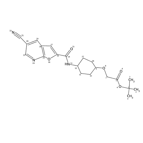 CC(C)(C)OC(=O)COC1CCC(NC(=O)c2cc3cc(C#N)cnc3o2)CC1